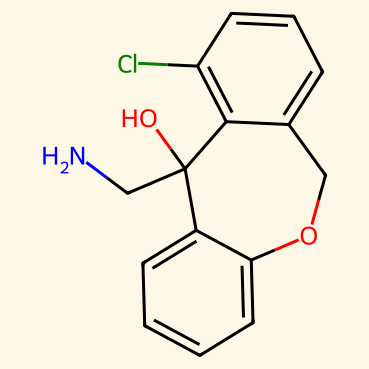 NCC1(O)c2ccccc2OCc2cccc(Cl)c21